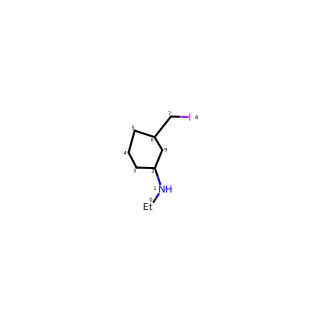 CCNC1CCCC(CI)C1